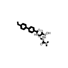 CCc1ccc(-c2ccc(C(=O)N[C@@H](CNC(=O)N(C)C)C(=O)NO)cc2)cc1